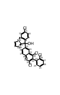 Cn1ccnc1C(O)(c1ccc(Cl)cc1)c1ccc2nc(Cl)c(-c3ccccc3Cl)c(Cl)c2c1